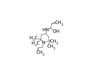 C=CCN1C(C)(C)CC(NC(O)C=C)CC1(C)C